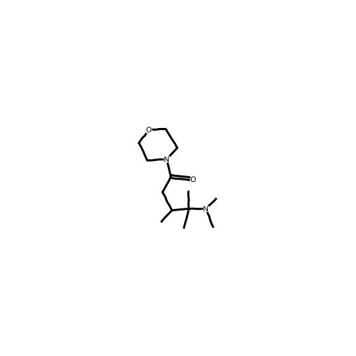 CC(CC(=O)N1CCOCC1)C(C)(C)N(C)C